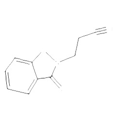 C#CCCn1sc2ccccc2c1=O